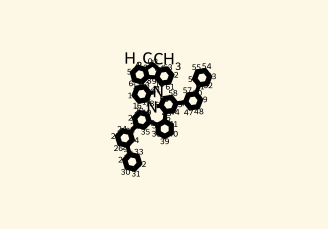 CC1(C)c2ccccc2-c2c(N3c4ccccc4N4c5ccc(-c6cccc(-c7ccccc7)c6)cc5-c5ccccc5-c5cc(-c6cccc(-c7ccccc7)c6)cc3c54)cccc21